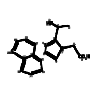 CC(O)c1nccn1CC(=O)O.c1ccc2ncccc2c1